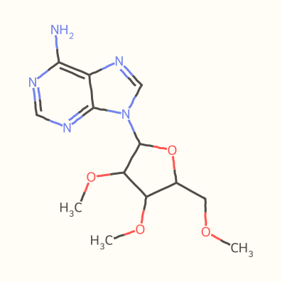 COCC1OC(n2cnc3c(N)ncnc32)C(OC)C1OC